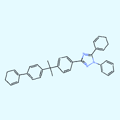 CC(C)(c1ccc(C2=CCCC=C2)cc1)c1ccc(-c2nc(C3=CCCC=C3)n(-c3ccccc3)n2)cc1